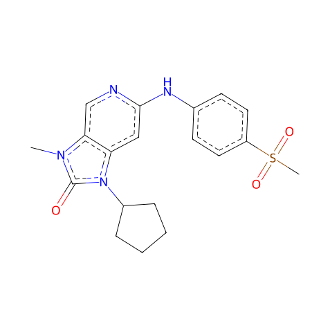 Cn1c(=O)n(C2CCCC2)c2cc(Nc3ccc(S(C)(=O)=O)cc3)ncc21